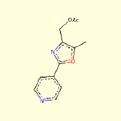 CC(=O)OCc1nc(-c2ccncc2)oc1C